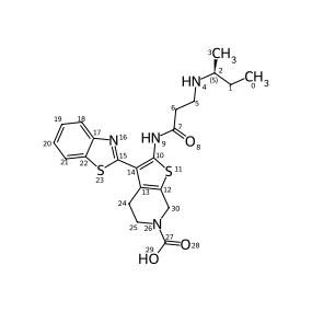 CC[C@H](C)NCCC(=O)Nc1sc2c(c1-c1nc3ccccc3s1)CCN(C(=O)O)C2